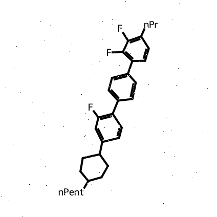 CCCCCC1CCC(c2ccc(-c3ccc(-c4ccc(CCC)c(F)c4F)cc3)c(F)c2)CC1